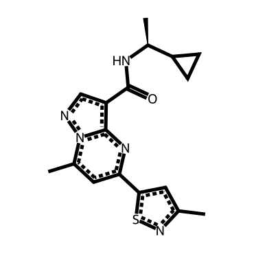 Cc1cc(-c2cc(C)n3ncc(C(=O)N[C@@H](C)C4CC4)c3n2)sn1